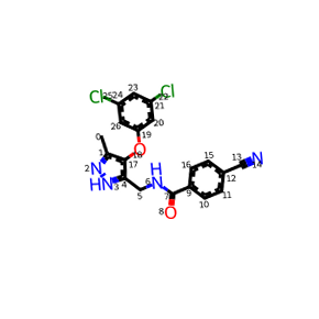 Cc1n[nH]c(CNC(=O)c2ccc(C#N)cc2)c1Oc1cc(Cl)cc(Cl)c1